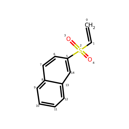 C=CS(=O)(=O)c1ccc2ccccc2c1